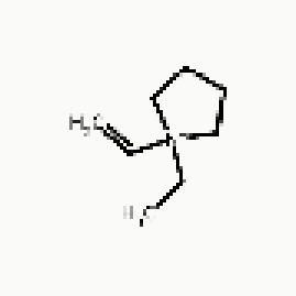 C=C[N+]1(CC)CCCC1